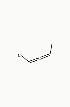 CC=C=CCl